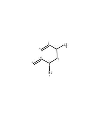 C=CC(CC)CC(C=C)CC